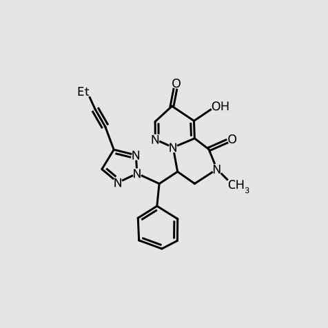 CCC#Cc1cnn(C(c2ccccc2)C2CN(C)C(=O)c3c(O)c(=O)cnn32)n1